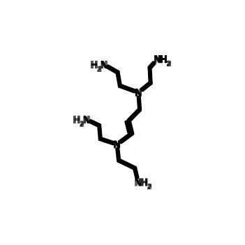 NCCN(C=CCN(CCN)CCN)CCN